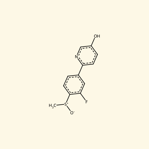 C[S+]([O-])c1ccc(-c2ccc(O)cn2)cc1F